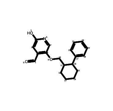 O=Cc1cc(O)ncc1OCC1CCCCC1c1ccccc1